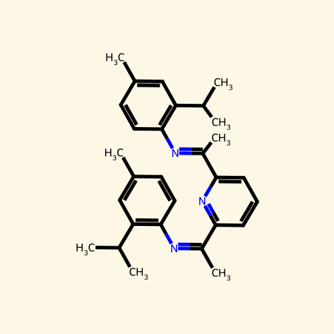 CC(=Nc1ccc(C)cc1C(C)C)c1cccc(C(C)=Nc2ccc(C)cc2C(C)C)n1